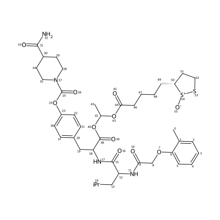 Cc1ccccc1OCC(=O)NC(CC(C)C)C(=O)NC(Cc1ccc(OC(=O)N2CCC(C(N)=O)CC2)cc1)C(=O)OC(C)OC(=O)CCCC[C@@H]1CCS[S+]1[O-]